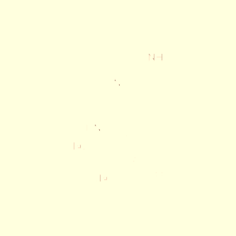 CC(C)(C)NC(Cc1c[nH]cn1)C(=O)C(C)(C)C